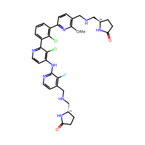 COc1nc(-c2cccc(-c3nccc(Nc4nccc(CNC[C@@H]5CCC(=O)N5)c4F)c3Cl)c2Cl)ccc1CNC[C@H]1CCC(=O)N1